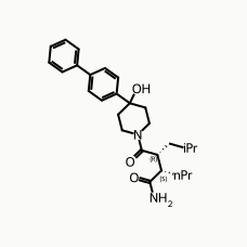 CCC[C@H](C(N)=O)[C@@H](CC(C)C)C(=O)N1CCC(O)(c2ccc(-c3ccccc3)cc2)CC1